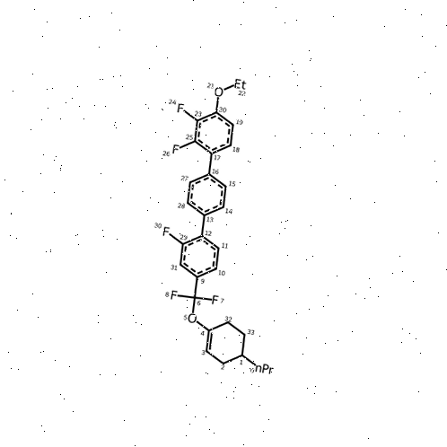 CCCC1CC=C(OC(F)(F)c2ccc(-c3ccc(-c4ccc(OCC)c(F)c4F)cc3)c(F)c2)CC1